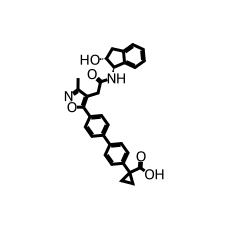 Cc1noc(-c2ccc(-c3ccc(C4(C(=O)O)CC4)cc3)cc2)c1CC(=O)N[C@H]1c2ccccc2C[C@H]1O